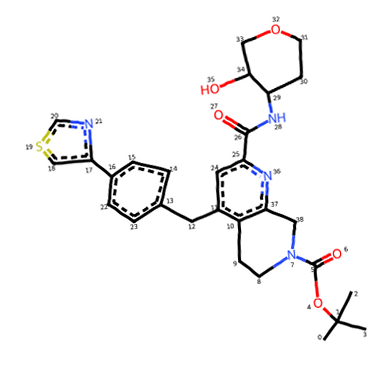 CC(C)(C)OC(=O)N1CCc2c(Cc3ccc(-c4cscn4)cc3)cc(C(=O)NC3CCOCC3O)nc2C1